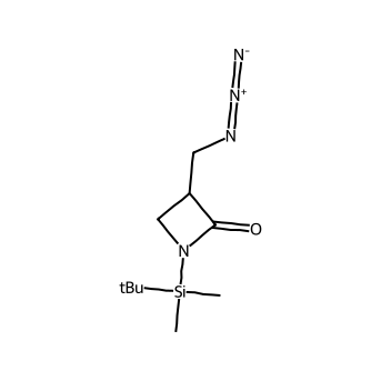 CC(C)(C)[Si](C)(C)N1CC(CN=[N+]=[N-])C1=O